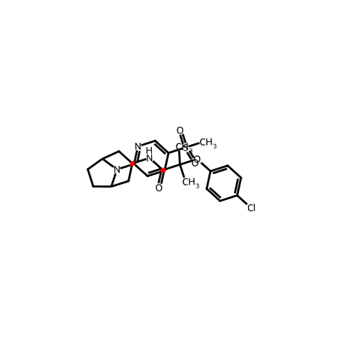 CC(C)(Oc1ccc(Cl)cc1)C(=O)NC1CC2CCC(C1)N2c1ccc(S(C)(=O)=O)cn1